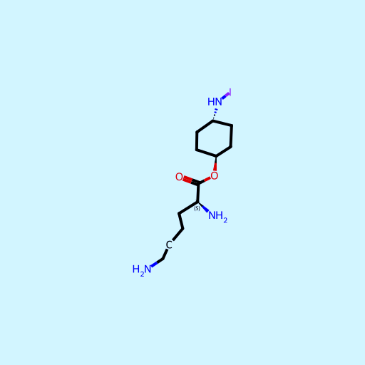 NCCCC[C@H](N)C(=O)O[C@H]1CC[C@H](NI)CC1